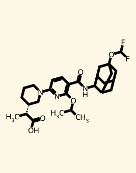 CC(C)Oc1nc(N2CCC[C@@H](C(C)C(=O)O)C2)ccc1C(=O)NC1C2CC3CC1CC(OC(F)F)(C3)C2